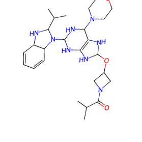 CC(C)C(=O)N1CC(OC2NC3=C(N2)C(N2CCOCC2)NC(N2C4C=CC=CC4NC2C(C)C)N3)C1